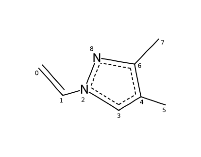 C=Cn1cc(C)c(C)n1